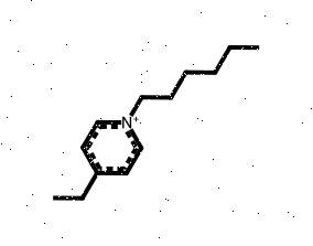 CCCCCC[n+]1ccc(CC)cc1